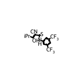 CC(C)C(O)=C(C#N)C(=S)Nc1cc(C(F)(F)F)cc(C(F)(F)F)c1